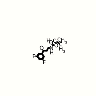 CC(C)(C)OC(=O)NCCC(=O)c1cc(F)cc(F)c1